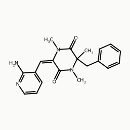 CN1C(=O)C(C)(Cc2ccccc2)N(C)C(=O)/C1=C\c1cccnc1N